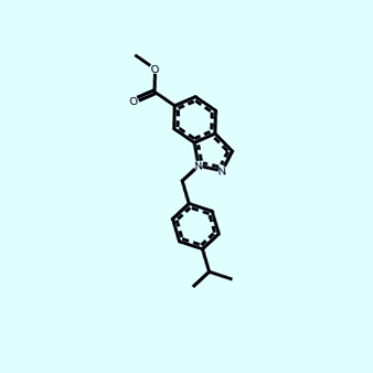 COC(=O)c1ccc2cnn(Cc3ccc(C(C)C)cc3)c2c1